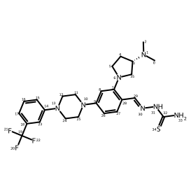 CN(C)[C@H]1CCN(c2cc(N3CCN(c4cccc(C(F)(F)F)c4)CC3)ccc2C=NNC(N)=S)C1